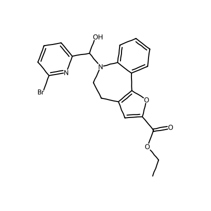 CCOC(=O)c1cc2c(o1)-c1ccccc1N(C(O)c1cccc(Br)n1)CC2